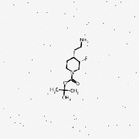 CC(C)(C)OC(=O)N1CC[C@H](CCN)[C@H](F)C1